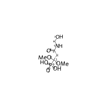 COC(CC(=O)NCO)(OC)P(=O)(O)O